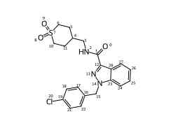 O=C(NCC1CCS(=O)(=O)CC1)c1nn(Cc2ccc(Cl)cc2)c2ccccc12